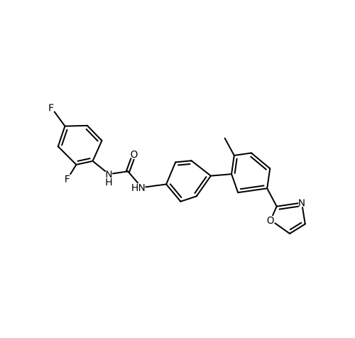 Cc1ccc(-c2ncco2)cc1-c1ccc(NC(=O)Nc2ccc(F)cc2F)cc1